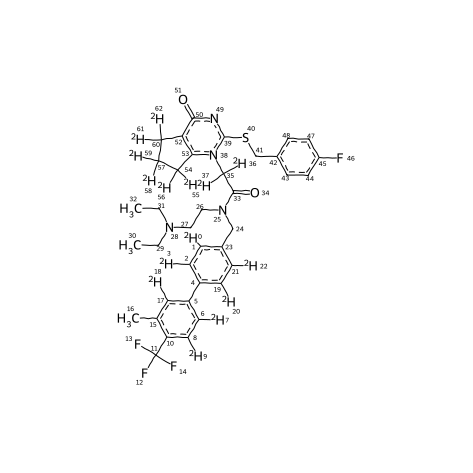 [2H]c1c([2H])c(-c2c([2H])c([2H])c(C(F)(F)F)c(C)c2[2H])c([2H])c([2H])c1CN(CCN(CC)CC)C(=O)C([2H])([2H])n1c(SCc2ccc(F)cc2)nc(=O)c2c1C([2H])([2H])C([2H])([2H])C2([2H])[2H]